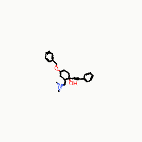 CN(C)CC1CC(OCc2ccccc2)CCC1(O)C#Cc1ccccc1